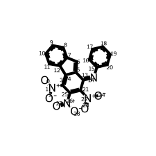 O=[N+]([O-])C1=C2C(=Cc3ccccc32)C(=Nc2ccccc2)C([N+](=O)[O-])=C1[N+](=O)[O-]